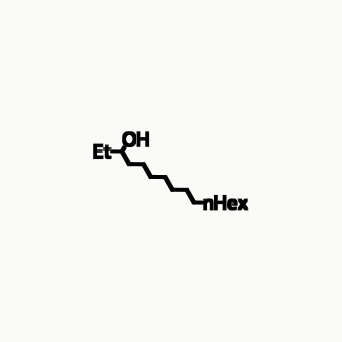 [CH2]CC(O)CCCCCCCCCCCCC